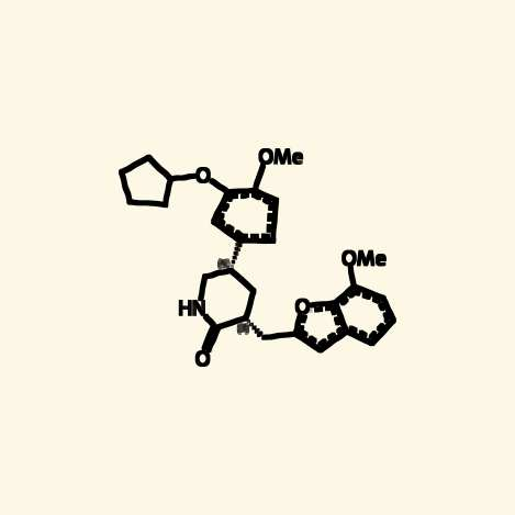 COc1ccc([C@H]2CNC(=O)[C@@H](Cc3cc4cccc(OC)c4o3)C2)cc1OC1CCCC1